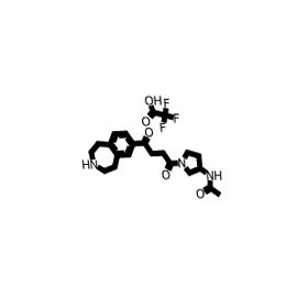 CC(=O)NC1CCN(C(=O)CCC(=O)c2ccc3c(c2)CCNCC3)C1.O=C(O)C(F)(F)F